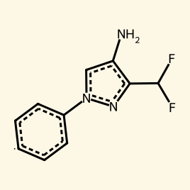 Nc1cn(-c2cc[c]cc2)nc1C(F)F